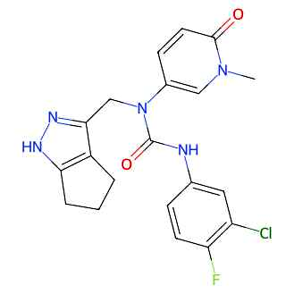 Cn1cc(N(Cc2n[nH]c3c2CCC3)C(=O)Nc2ccc(F)c(Cl)c2)ccc1=O